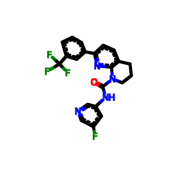 O=C(Nc1cncc(F)c1)N1CCCc2ccc(-c3cccc(C(F)(F)F)c3)nc21